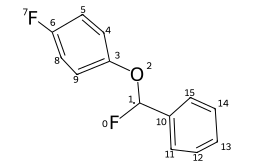 F[C](Oc1ccc(F)cc1)c1ccccc1